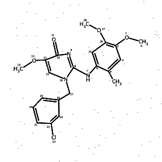 COc1cc(C)c(Nc2nc(=O)c(OC)cn2Cc2cccc(Cl)c2)cc1OC